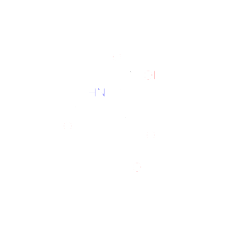 COc1ccc2c(c1OCc1ccccc1)CC(C(=O)O)NC2C(=O)C(c1ccccc1)c1ccccc1